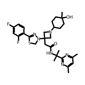 Cc1cc(C)nc(C(C)(C)NC(=O)CC2(N3CSC(c4ccc(F)cc4F)=N3)CN(C3CCC(C)(O)CC3)C2)n1